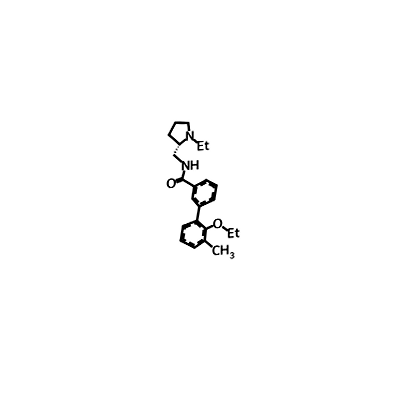 CCOc1c(C)cccc1-c1cccc(C(=O)NC[C@@H]2CCCN2CC)c1